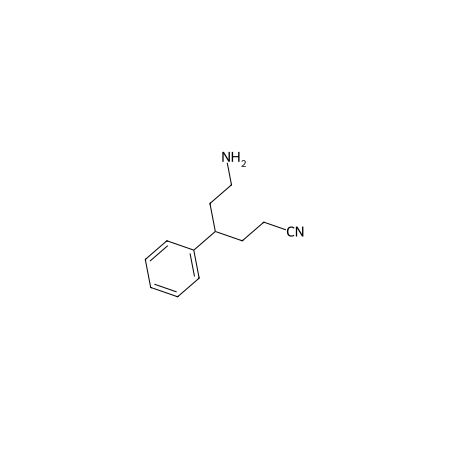 N#CCCC(CCN)c1ccccc1